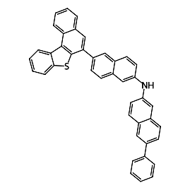 c1ccc(-c2ccc3cc(Nc4ccc5cc(-c6cc7ccccc7c7c6sc6ccccc67)ccc5c4)ccc3c2)cc1